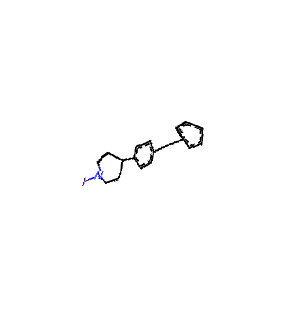 IN1CCC(c2ccc(-c3ccccc3)cc2)CC1